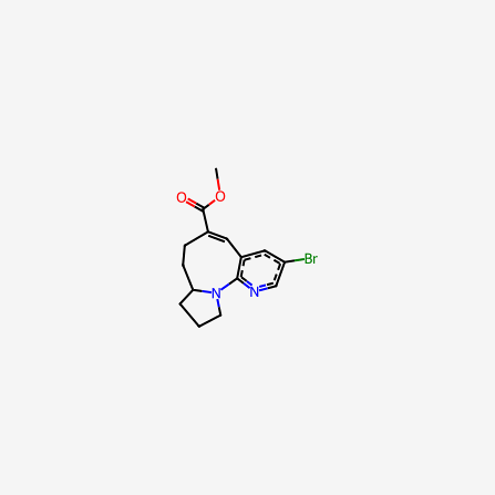 COC(=O)C1=Cc2cc(Br)cnc2N2CCCC2CC1